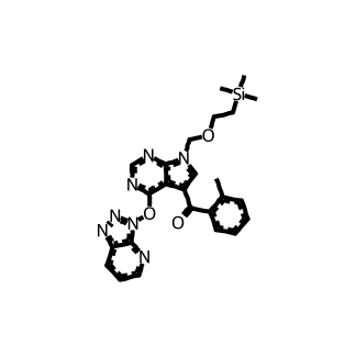 Cc1ccccc1C(=O)c1cn(COCC[Si](C)(C)C)c2ncnc(On3nnc4cccnc43)c12